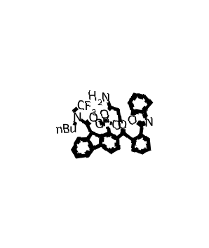 CCCCN(CC(F)(F)F)C(=O)C1c2ccccc2-c2ccc(C(=O)c3ccccc3-c3nc4ccccc4o3)c(P3(=O)OCCC(N)O3)c21